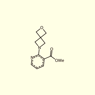 COC(=O)c1cccnc1N1CC2(COC2)C1